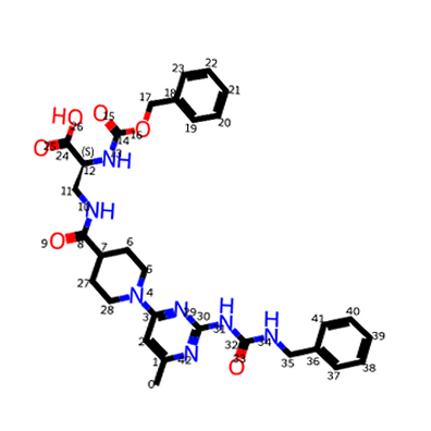 Cc1cc(N2CCC(C(=O)NC[C@H](NC(=O)OCc3ccccc3)C(=O)O)CC2)nc(NC(=O)NCc2ccccc2)n1